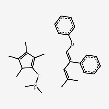 CC(C)=CC(=COc1ccccc1)c1ccccc1.CC1=C(C)C(C)[C]([Ti][SiH](C)C)=C1C